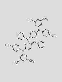 Cc1ccc(N(c2cc(C)cc(C)c2)c2ccc3c(-c4ccccc4)c4cc(N(c5ccc(C)cc5)c5cc(C)cc(C)c5)ccc4c(-c4ccccc4)c3c2)cc1